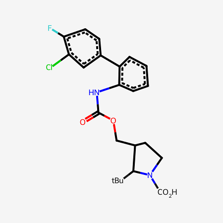 CC(C)(C)C1C(COC(=O)Nc2ccccc2-c2ccc(F)c(Cl)c2)CCN1C(=O)O